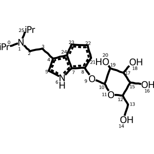 CC(C)N(CCc1c[nH]c2c(OC3OC(CO)C(O)C(O)C3O)cccc12)C(C)C